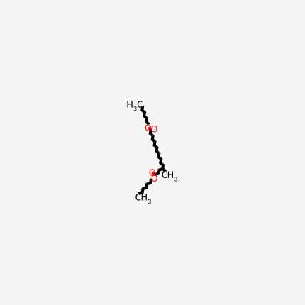 CCCCCCCCOC(=O)CCCCCCCCCCCCC(CC)CCC(=O)OCCCCCCCC